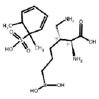 CC1C=CC=CC1(C)S(=O)(=O)O.NC[C@@H](CCCB(O)O)[C@H](N)C(=O)O